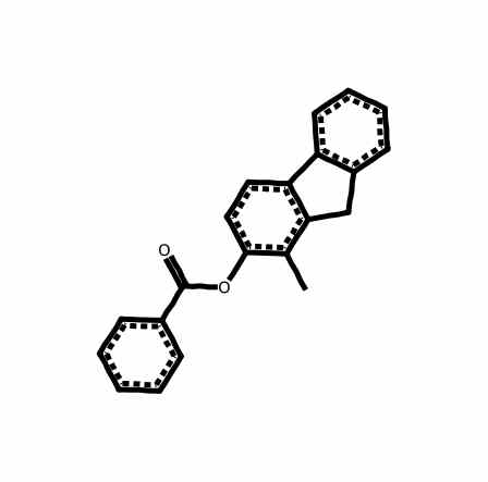 Cc1c(OC(=O)c2ccccc2)ccc2c1Cc1ccccc1-2